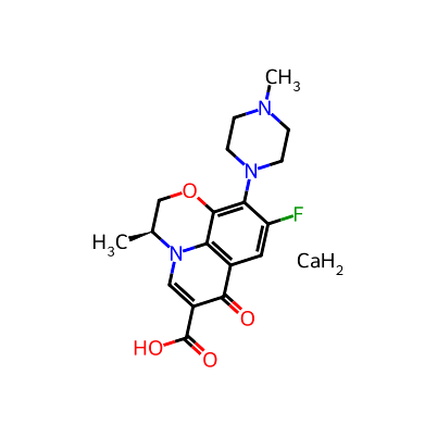 C[C@H]1COc2c(N3CCN(C)CC3)c(F)cc3c(=O)c(C(=O)O)cn1c23.[CaH2]